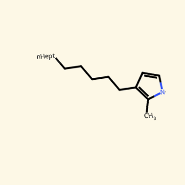 CCCCCCCCCCCCC1=C(C)[N]C=C1